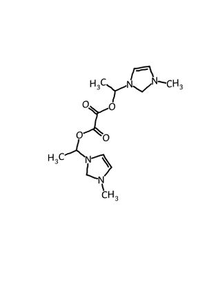 CC(OC(=O)C(=O)OC(C)N1C=CN(C)C1)N1C=CN(C)C1